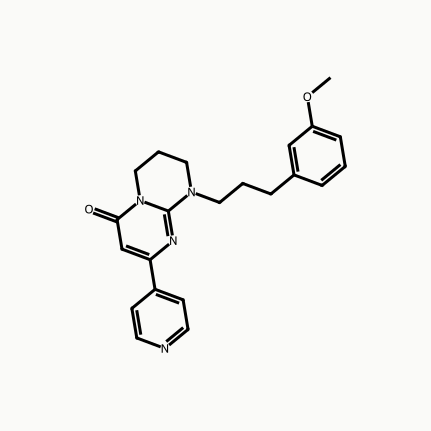 COc1cccc(CCCN2CCCn3c2nc(-c2ccncc2)cc3=O)c1